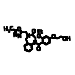 CCOc1cc(OCCO)ccc1C(=O)N1CC(=O)N(Cc2nnc(C)o2)Cc2ccccc21